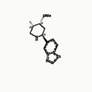 CO[C@@H]1C[C@@H](c2ccc3scnc3c2)NC[C@@H]1C